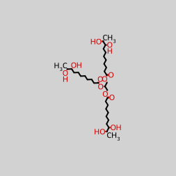 CC(O)C(O)CCCCCCCC(=O)OCC(COC(=O)CCCCCCCC(O)C(C)O)OC(=O)CCCCCCCC(O)C(C)O